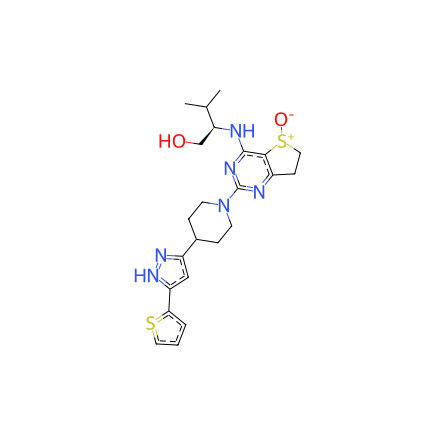 CC(C)[C@H](CO)Nc1nc(N2CCC(c3cc(-c4cccs4)[nH]n3)CC2)nc2c1[S+]([O-])CC2